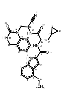 COc1cccc2[nH]c(C(=O)N[C@@H](CC3CC3)C(=O)NC(C#N)CN3C(=O)NCc4ccccc43)cc12